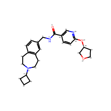 O=C(NCc1ccc2c(c1)CCN(C1CCC1)CC2)c1ccc(O[C@H]2CCOC2)nc1